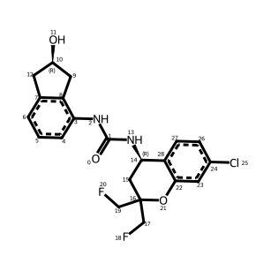 O=C(Nc1cccc2c1C[C@H](O)C2)N[C@@H]1CC(CF)(CF)Oc2cc(Cl)ccc21